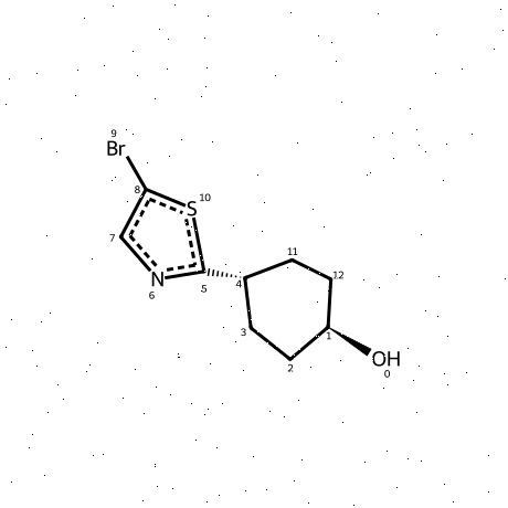 O[C@H]1CC[C@H](c2ncc(Br)s2)CC1